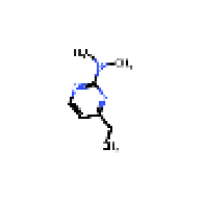 CCc1ccnc(N(C)C)n1